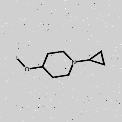 IOC1CCN(C2CC2)CC1